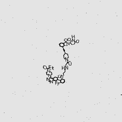 CCC(=O)N1CCN(c2ncnc3c(F)c(-c4c(F)cccc4OCCCCNCC(=O)N4CCC(C#Cc5cccc6c5CN(C5CCC(=O)NC5=O)C6=O)CC4)c(Cl)cc23)CC1